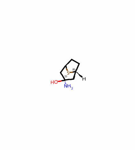 N[C@]1(O)CC2CC[C@H](C1)S2